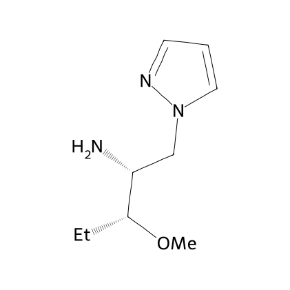 CC[C@@H](OC)[C@H](N)Cn1cccn1